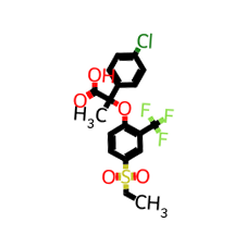 CCS(=O)(=O)c1ccc(OC(C)(C(=O)O)c2ccc(Cl)cc2)c(C(F)(F)F)c1